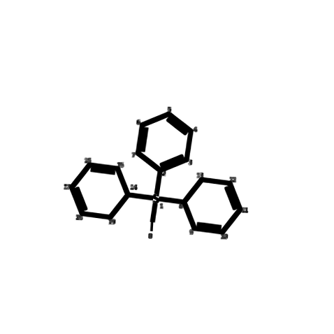 IS(c1ccccc1)(C1C=CC=CC1)C1C=CC=CC1